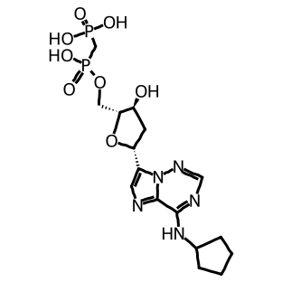 O=P(O)(O)CP(=O)(O)OC[C@H]1O[C@@H](c2cnc3c(NC4CCCC4)ncnn23)C[C@@H]1O